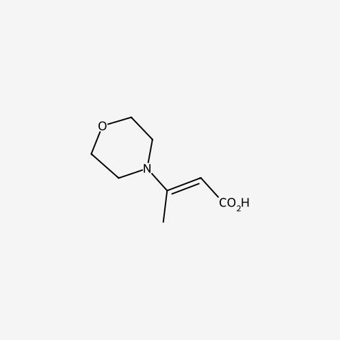 CC(=CC(=O)O)N1CCOCC1